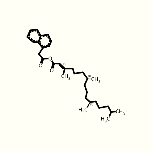 C/C(=C\C(=O)OC(=O)Cc1cccc2ccccc12)CCC[C@H](C)CCC[C@H](C)CCCC(C)C